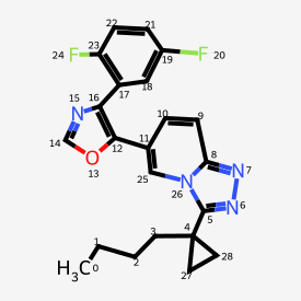 CCCCC1(c2nnc3ccc(-c4ocnc4-c4cc(F)ccc4F)cn23)CC1